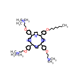 CCCCCCCCOc1ccc(-c2c3nc(c(-c4ccc(OCCC[N+](C)(C)C)cc4)c4ccc([nH]4)c(-c4ccc(OCCC[N+](C)(C)C)cc4)c4nc(c(-c5ccc(OCCCN(C)C)cc5)c5ccc2[nH]5)C=C4)C=C3)cc1